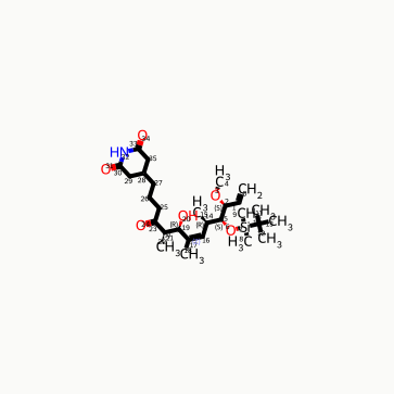 C=C[C@H](OC)[C@@H](O[Si](C)(C)C(C)(C)C)[C@H](C)/C=C(/C)[C@H](O)[C@H](C)C(=O)CCCC1CC(=O)NC(=O)C1